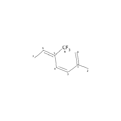 C=C(C)/C=C\C(=C/C)C(F)(F)F